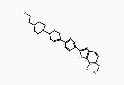 CCCC1CCC(C2CC=C(c3ccc(-c4cc5ccc(OC)c(F)c5s4)cc3)CC2)CC1